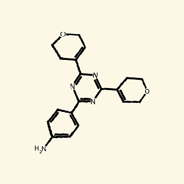 Nc1ccc(-c2nc(C3=CCOCC3)nc(C3=CCOCC3)n2)cc1